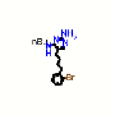 CCCCNc1nc(N)ncc1CCCCc1ccccc1Br